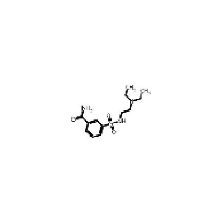 CCN(CC)CCNS(=O)(=O)c1cccc(C(N)=O)c1